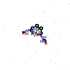 COc1nc(-c2cccc(-c3cccc(-c4ccc5c(CNC[C@H]6CCO6)cn(C)c5n4)c3Cl)c2Cl)ccc1CNC[C@@H]1CCC(=O)N1